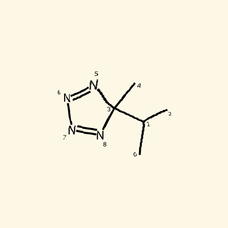 CC(C)C1(C)N=NN=N1